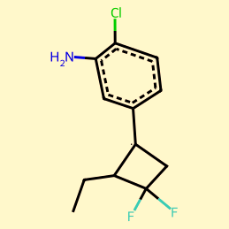 CCC1[C](c2ccc(Cl)c(N)c2)CC1(F)F